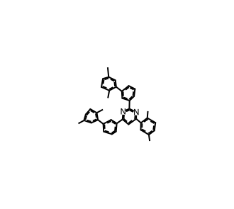 Cc1ccc(C)c(-c2cccc(-c3cc(-c4cc(C)ccc4C)nc(-c4cccc(-c5cc(C)ccc5C)c4)n3)c2)c1